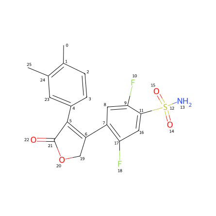 Cc1ccc(C2=C(c3cc(F)c(S(N)(=O)=O)cc3F)COC2=O)cc1C